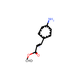 Nc1ccc(/C=C/C(=O)O[C]=O)cc1